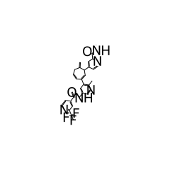 C=C1CC=CC(c2cc(NC(=O)c3ccnc(C(F)(F)F)c3)cnc2C)=CC1c1ccnc(C(=O)NC)c1